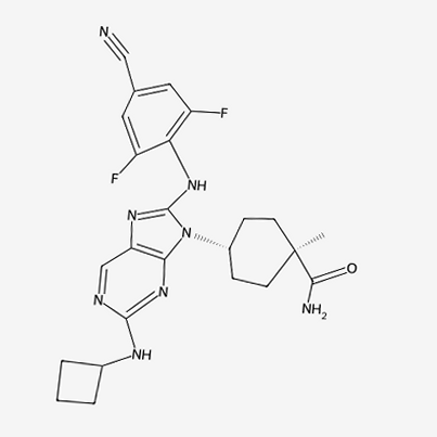 C[C@]1(C(N)=O)CC[C@H](n2c(Nc3c(F)cc(C#N)cc3F)nc3cnc(NC4CCC4)nc32)CC1